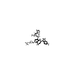 C[C@@H](NC(=O)c1cn(COCC[Si](C)(C)C)c2ncc(-c3nn(C)c4cc(F)ccc34)nc12)C1=NCCO1